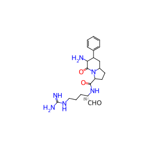 N=C(N)NCCC[C@@H](C=O)NC(=O)C1CCC2CC(c3ccccc3)C(N)C(=O)N21